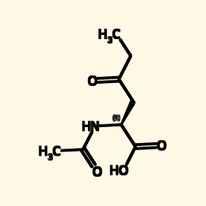 CCC(=O)C[C@H](NC(C)=O)C(=O)O